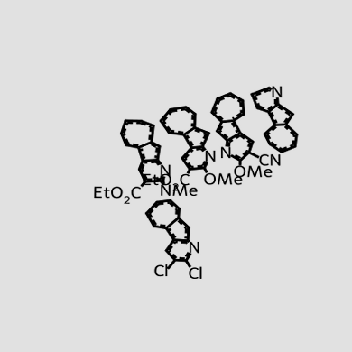 CCOC(=O)c1cc2c3cccccc-3cc2nc1NC.CCOC(=O)c1cc2c3cccccc-3cc2nc1OC.COc1nc2cc3cccccc-3c2cc1C#N.Clc1cc2c3cccccc-3cc2nc1Cl.c1ccc2cc3ncccc3c-2cc1